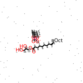 CCCCCCCC/C=C\CCCCCCCC(=O)OCC(O)CO.O=P([O-])([O-])[O-].[Na+].[Na+].[Na+]